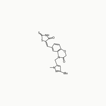 Cn1nc(C(C)(C)C)cc1CN1C(=O)COc2ccc(C=C3SC(=S)NC3=O)cc21